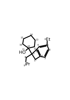 CCc1ccc2c(c1)C(CC(C)C)(C1(O)CCCCC1)C2